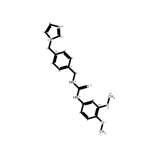 COc1ccc(NC(=S)NCc2ccc(Cn3ccnc3)cc2)cc1OC